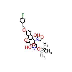 CC(C)(C)COc1cc(C(c2c(O)c3ccc(OCCc4ccc(F)cc4)cc3c3occ(C(=O)O)c23)N2CCOCC2)ccn1